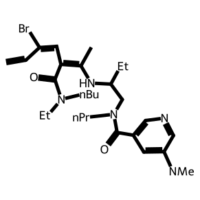 C=C/C(Br)=C\C(C(=O)N(CC)CCCC)=C(/C)NC(CC)CN(CCC)C(=O)c1cncc(NC)c1